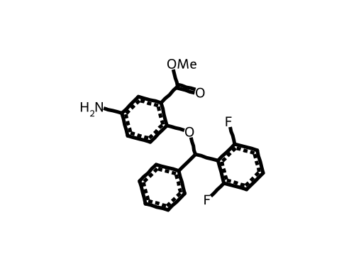 COC(=O)c1cc(N)ccc1OC(c1ccccc1)c1c(F)cccc1F